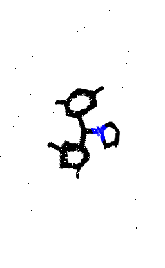 Cc1cc(C)cc(C(c2cc(C)cc(C)c2)N2CCCC2)c1